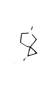 CCCN1CCC2(C[C@H]2C)C1